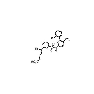 CCN(CCCC(=O)O)c1cccc(S(=O)(=O)Nc2ccc(C(F)(F)F)c(-c3ccccc3C(C)C)n2)n1